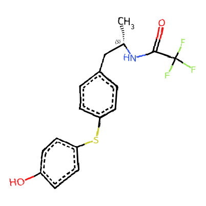 C[C@@H](Cc1ccc(Sc2ccc(O)cc2)cc1)NC(=O)C(F)(F)F